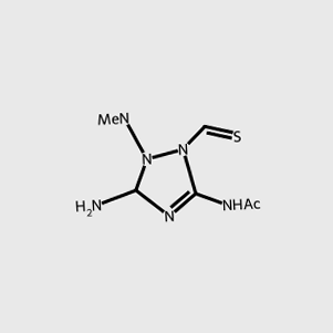 CNN1C(N)N=C(NC(C)=O)N1C=S